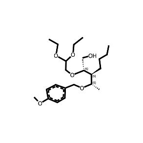 CCCC[C@@H]([C@H](C)OCc1ccc(OC)cc1)[C@@H](CO)OCC(OCC)OCC